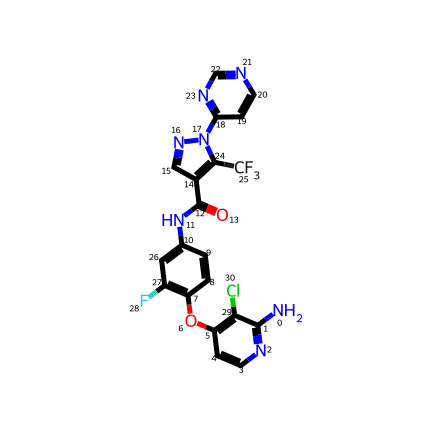 Nc1nccc(Oc2ccc(NC(=O)c3cnn(-c4ccncn4)c3C(F)(F)F)cc2F)c1Cl